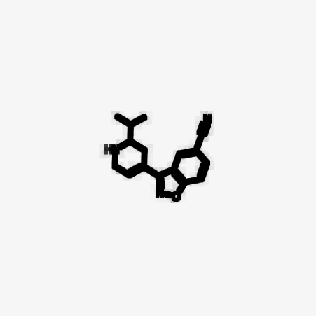 CC(C)C1CC(c2noc3ccc(C#N)cc23)=CCN1